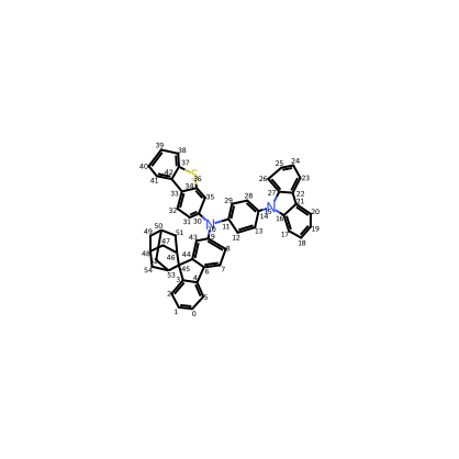 c1ccc2c(c1)-c1ccc(N(c3ccc(-n4c5ccccc5c5ccccc54)cc3)c3ccc4c(c3)sc3ccccc34)cc1C21C2CC3CC(C2)CC1C3